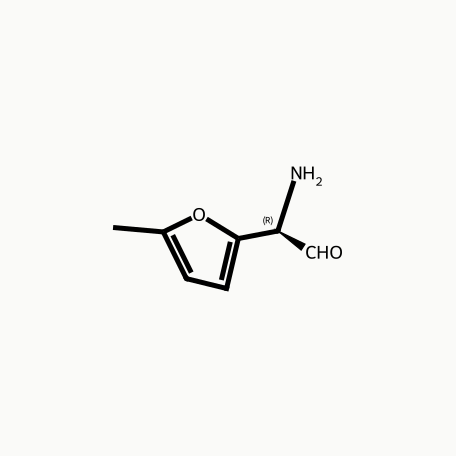 Cc1ccc([C@@H](N)C=O)o1